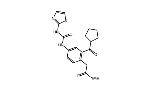 CNC(=O)Cc1ccc(NC(=O)Nc2nccs2)cc1C(=O)C1CCCC1